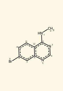 CNc1ncnc2cc(Br)ccc12